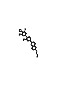 C=CCCc1ccc2cc(-c3ccc(-c4cc(F)c(Cl)c(F)c4)c(F)c3)ccc2c1